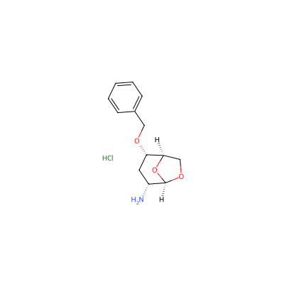 Cl.N[C@@H]1C[C@H](OCc2ccccc2)[C@H]2CO[C@@H]1O2